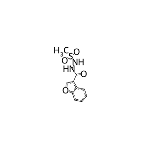 CS(=O)(=O)NNC(=O)c1coc2ccccc12